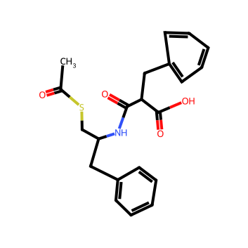 CC(=O)SCC(Cc1ccccc1)NC(=O)C(Cc1ccccc1)C(=O)O